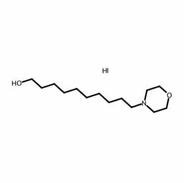 I.OCCCCCCCCCCN1CCOCC1